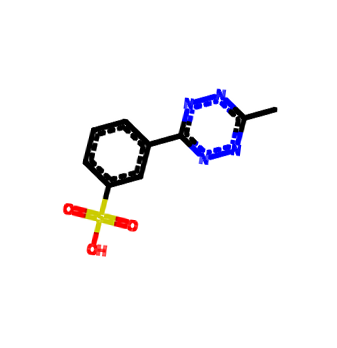 Cc1nnc(-c2cccc(S(=O)(=O)O)c2)nn1